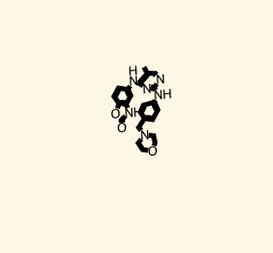 Cc1cnc(Nc2ccc(CN3CCOCC3)cc2)nc1Nc1ccc2oc(=O)[nH]c2c1